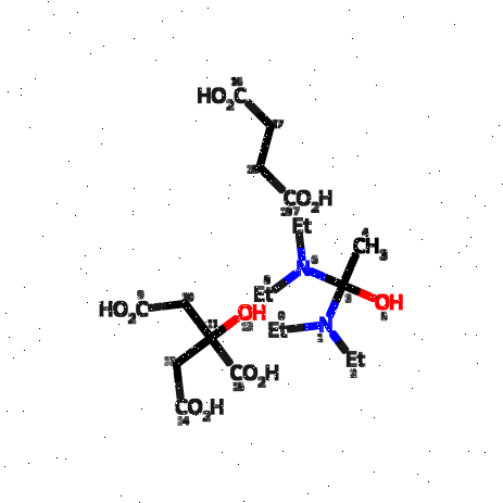 CCN(CC)C(C)(O)N(CC)CC.O=C(O)CC(O)(CC(=O)O)C(=O)O.O=C(O)CCC(=O)O